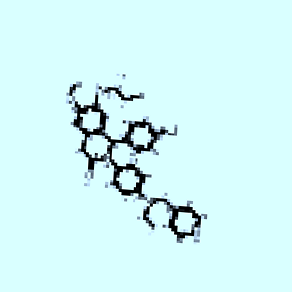 CC[C@@H](C)Oc1cc2c(cc1OC)CC(=O)N(c1ccc(N(CC)Cc3ccncc3)cc1)C2c1ccc(Cl)cc1